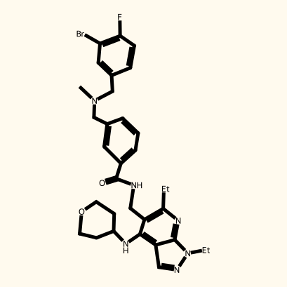 CCc1nc2c(cnn2CC)c(NC2CCOCC2)c1CNC(=O)c1cccc(CN(C)Cc2ccc(F)c(Br)c2)c1